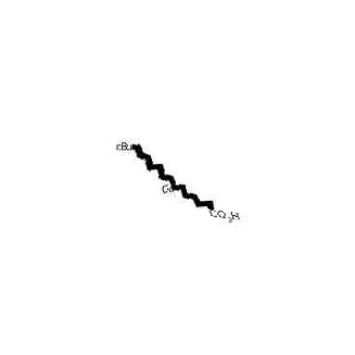 CCCCC=CC=CC=CCCCCCCCC(=O)O.[Gd]